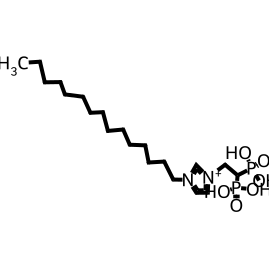 CCCCCCCCCCCCCCCn1cc[n+](CC(P(=O)(O)O)P(=O)(O)O)c1